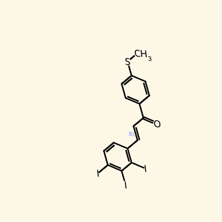 CSc1ccc(C(=O)/C=C/c2ccc(I)c(I)c2I)cc1